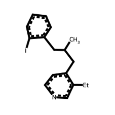 CCc1cnccc1CC(C)Cc1ccccc1I